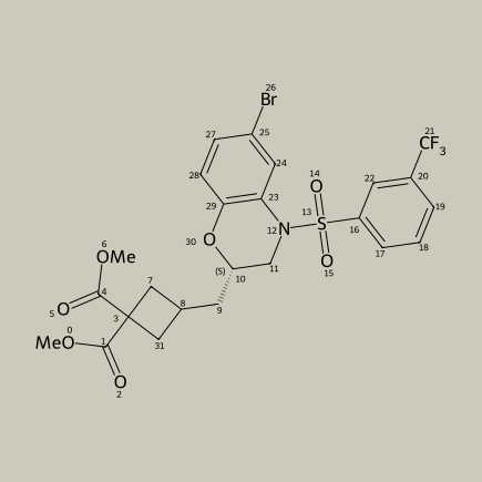 COC(=O)C1(C(=O)OC)CC(C[C@H]2CN(S(=O)(=O)c3cccc(C(F)(F)F)c3)c3cc(Br)ccc3O2)C1